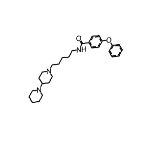 O=C(NCCCCCN1CCC(N2CCCCC2)CC1)c1ccc(Oc2ccccc2)cc1